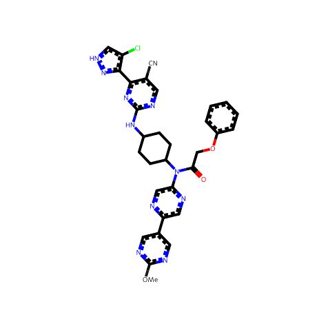 COc1ncc(-c2cnc(N(C(=O)COc3ccccc3)C3CCC(Nc4ncc(C#N)c(-c5n[nH]cc5Cl)n4)CC3)cn2)cn1